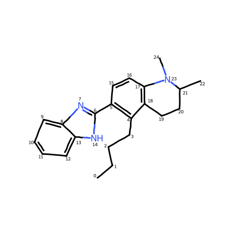 CCCCc1c(-c2nc3ccccc3[nH]2)ccc2c1CCC(C)N2C